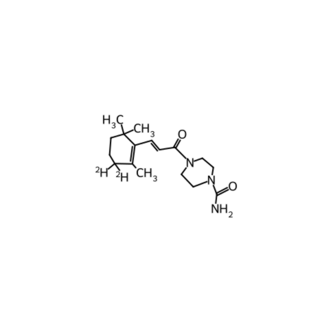 [2H]C1([2H])CCC(C)(C)C(C=CC(=O)N2CCN(C(N)=O)CC2)=C1C